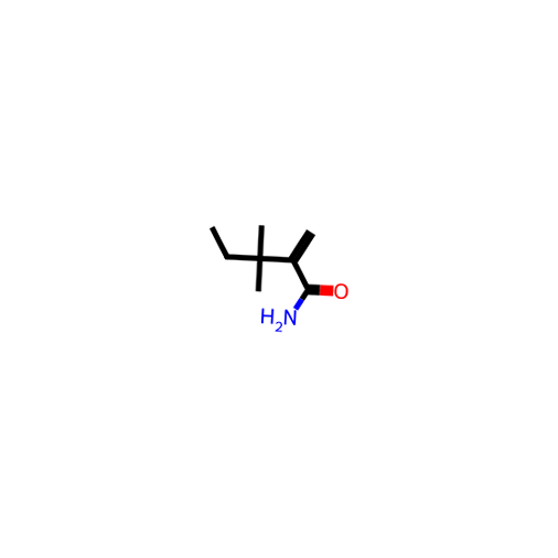 C=C(C(N)=O)C(C)(C)CC